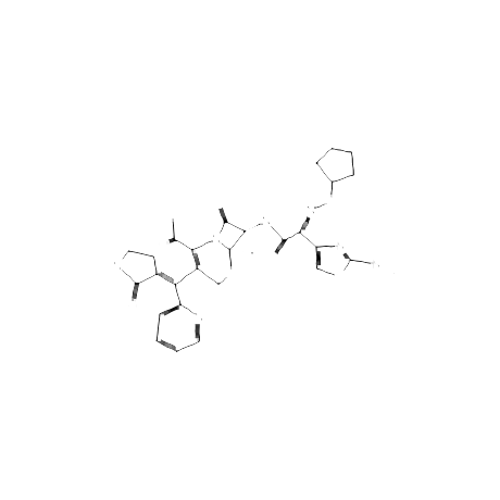 Nc1nc(C(=NOC2CCCC2)C(=O)N[C@@H]2C(=O)N3C(C(=O)O)=C(C(=C4CCNC4=O)c4ccccn4)CS[C@H]23)cs1